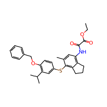 CCOC(=O)C(=O)Nc1cc(C)c(Sc2ccc(OCc3ccccc3)c(C(C)C)c2)c2c1CCC2